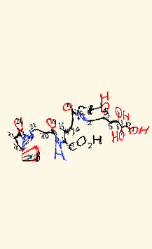 CN(C[C@H](O)C[C@H](O)[C@H](O)CO)C(=O)CC[C@H](NC(=O)CCN1C(=O)C=CC1=O)C(=O)O